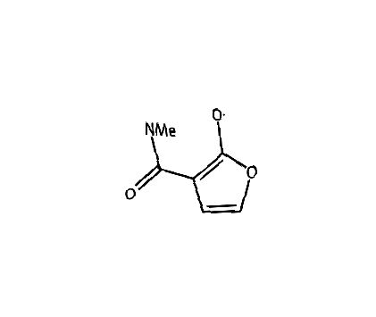 CNC(=O)c1ccoc1[O]